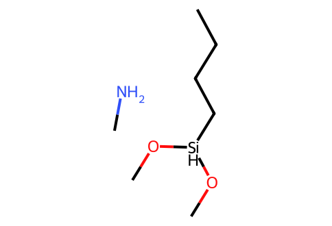 CCCC[SiH](OC)OC.CN